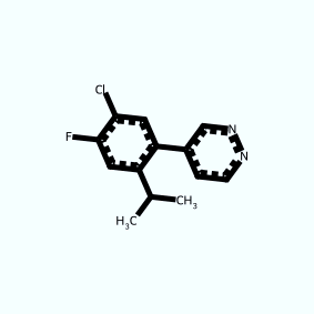 CC(C)c1cc(F)c(Cl)cc1-c1ccnnc1